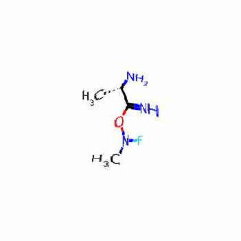 C[C@H](N)C(=N)ON(C)F